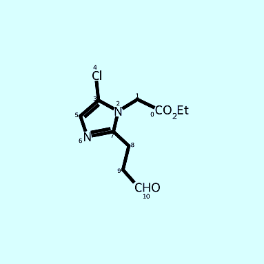 CCOC(=O)Cn1c(Cl)cnc1CCC=O